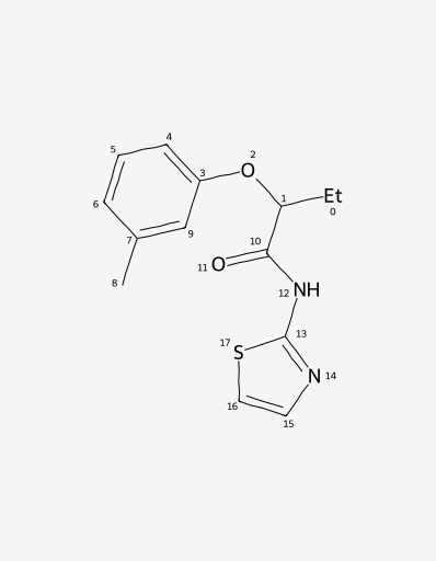 CCC(Oc1cccc(C)c1)C(=O)Nc1nccs1